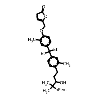 CCCCCC(C)(C)C(O)CCc1ccc(C(CC)(CC)c2ccc(OCC3=CCC(=O)O3)c(C)c2)cc1C